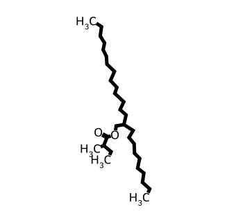 CCCCCCCCCCCCCCC(CCCCCCCCCC)COC(=O)C(C)CC